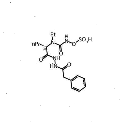 CCC[C@@H](C(=O)NNC(=O)Cc1ccccc1)N(CC)C(=O)NOS(=O)(=O)O